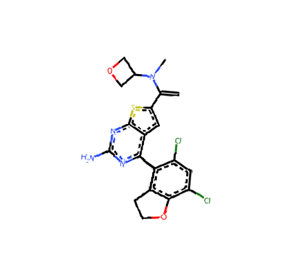 C=C(c1cc2c(-c3c(Cl)cc(Cl)c4c3CCO4)nc(N)nc2s1)N(C)C1COC1